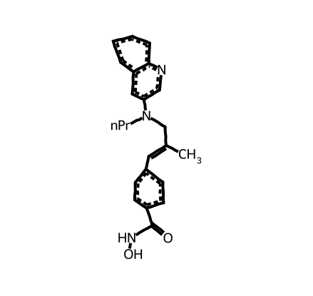 CCCN(CC(C)=Cc1ccc(C(=O)NO)cc1)c1cnc2ccccc2c1